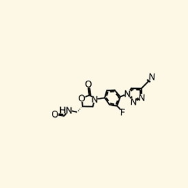 N#Cc1cn(-c2ccc(N3C[C@H](CNC=O)OC3=O)cc2F)nn1